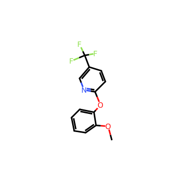 COc1ccccc1Oc1ccc(C(F)(F)F)cn1